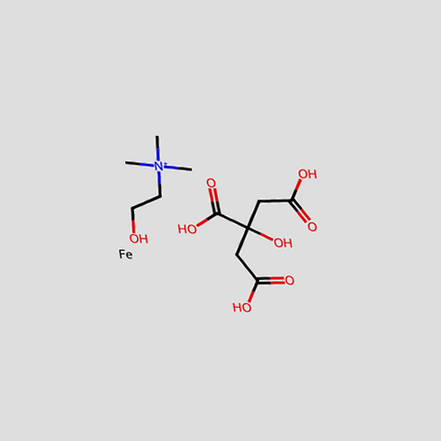 C[N+](C)(C)CCO.O=C(O)CC(O)(CC(=O)O)C(=O)O.[Fe]